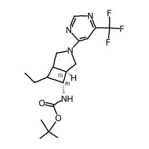 CCC1C2CN(c3cc(C(F)(F)F)ncn3)C[C@H]2[C@@H]1NC(=O)OC(C)(C)C